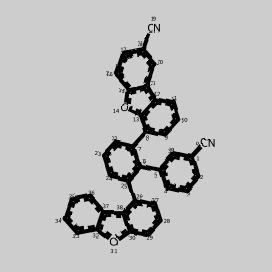 N#Cc1cccc(-c2c(-c3cccc4c3oc3ccc(C#N)cc34)cccc2-c2cccc3oc4ccccc4c23)c1